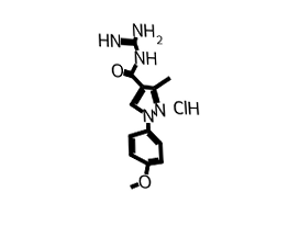 COc1ccc(-n2cc(C(=O)NC(=N)N)c(C)n2)cc1.Cl